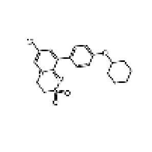 O=S1(=O)CCN2C=C(Cl)C=C(c3ccc(OC4CCCCC4)cc3)C2=N1